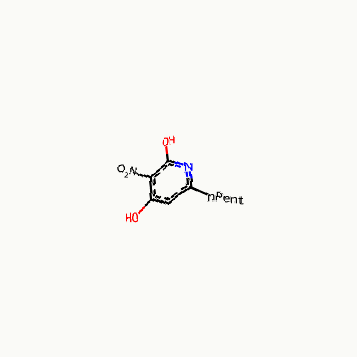 CCCCCc1cc(O)c([N+](=O)[O-])c(O)n1